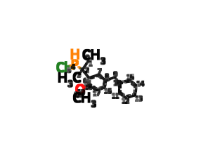 CCC(C)(PCl)c1cc(Cc2ccccc2)ccc1OC